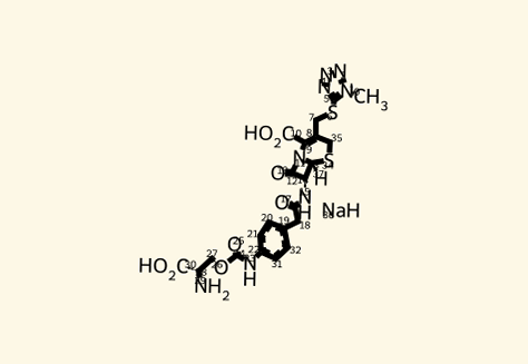 Cn1nnnc1SCC1=C(C(=O)O)N2C(=O)[C@@H](NC(=O)Cc3ccc(NC(=O)OC[C@H](N)C(=O)O)cc3)[C@H]2SC1.[NaH]